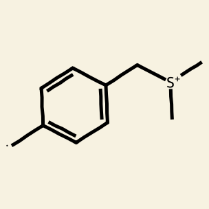 [CH2]c1ccc(C[S+](C)C)cc1